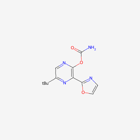 CC(C)(C)c1cnc(OC(N)=O)c(-c2ncco2)n1